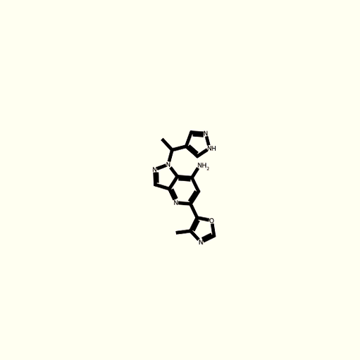 Cc1ncoc1-c1cc(N)c2c(cnn2C(C)c2cn[nH]c2)n1